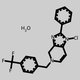 FC(F)(F)c1ccc(CN2C=Cc3c(nc(-c4ccccc4)n3Cl)C2)cc1.O